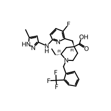 CC[C@@H]1C[C@](Cc2nc(Nc3cc(C)[nH]n3)ccc2F)(C(=O)O)CCN1Cc1ccccc1C(F)(F)F